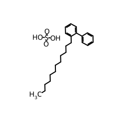 CCCCCCCCCCCCc1ccccc1-c1ccccc1.O=S(=O)(O)O